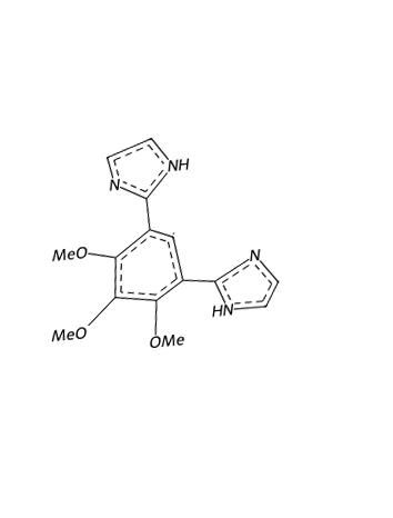 COc1c(-c2ncc[nH]2)[c]c(-c2ncc[nH]2)c(OC)c1OC